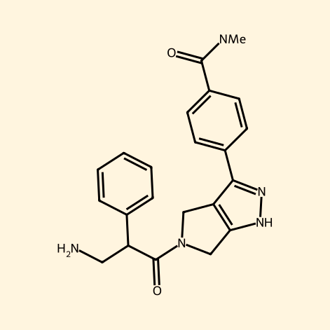 CNC(=O)c1ccc(-c2n[nH]c3c2CN(C(=O)C(CN)c2ccccc2)C3)cc1